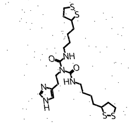 O=C(NCCCCC1CCSS1)N(CCc1c[nH]cn1)C(=O)NCCCCC1CCSS1